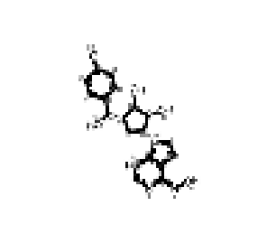 O/N=c1/nc[nH]c2c1ccn2[C@@H]1C[C@H](C(O)c2ccc(Cl)cc2)[C@@H](O)[C@H]1O